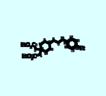 CCOC(=O)CC1(CC(=O)OCC)CCC(CCCc2ccc(CC)cc2)CC1